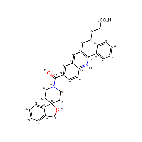 O=C(O)CCCCc1cc2cc(C(=O)N3CCC4(CC3)OCc3ccccc34)ccc2nc1-c1ccccc1